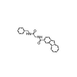 O=C(CNC(=O)c1ccc2cc3cccccc-3c2c1)NCc1ccccc1